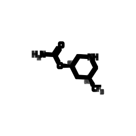 NC(=O)O[C@H]1CNC[C@@H](C(F)(F)F)C1